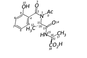 CC(=O)N(C(=O)c1ccccc1O)[C@@H](C)C(=O)N[C@@H](C)C(=O)O